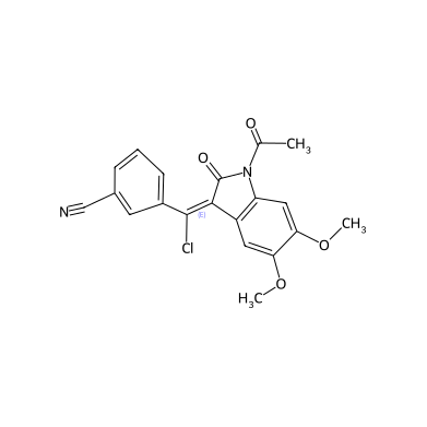 COc1cc2c(cc1OC)N(C(C)=O)C(=O)/C2=C(/Cl)c1cccc(C#N)c1